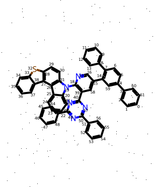 c1ccc(-c2ccc(-c3ccccc3)c(-c3cnc(-n4c5ccccc5c5c6c(ccc54)sc4ccccc46)c(-c4nc(-c5ccccc5)nc(-c5ccccc5)n4)c3)c2)cc1